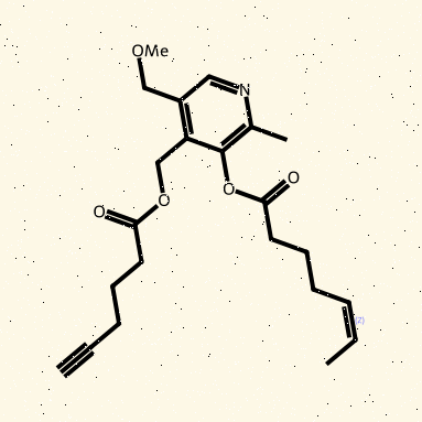 C#CCCCC(=O)OCc1c(COC)cnc(C)c1OC(=O)CCC/C=C\C